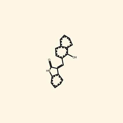 O=C1Nc2ccccc2C1=Cc1ccc2ccccc2c1O